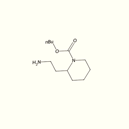 CCCCOC(=O)N1CCCCC1CCN